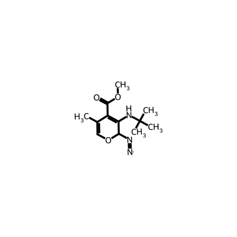 COC(=O)C1=C(NC(C)(C)C)C(N=[N])OC=C1C